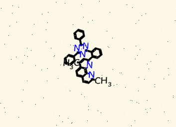 Cc1ccc2ccc3c(C)cc(-c4ccccc4-c4nc(-c5ccccc5)nc(-c5ccccc5)n4)nc3c2n1